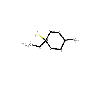 CC(C)(C)C1CCC(S)(CC(=O)O)CC1